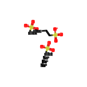 CCCCCCCCCCCCS(=O)(=O)[O-].CCCCCCCCS(=O)(=O)[O-].CCCCCCS(=O)(=O)[O-].[Na+].[Na+].[Na+]